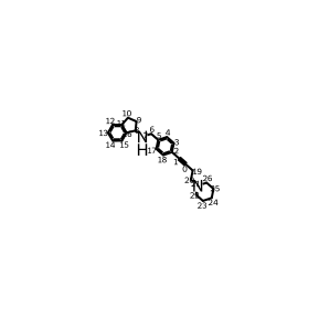 C(#Cc1ccc(CNC2CCc3ccccc32)cc1)CCN1CCCCC1